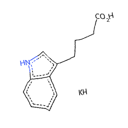 O=C(O)CCCc1c[nH]c2ccccc12.[KH]